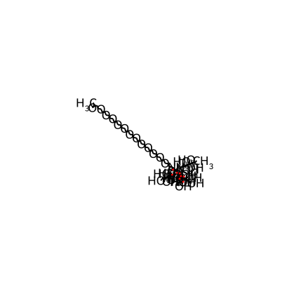 CC[C@H](O)[C@H](O)[C@@H](O)[C@H](O)CN(CC(C(=O)NCCOCCOCCOCCOCCOCCOCCOCCOCCOCCOCCOCCOCCC(C)=O)N(C[C@H](O)[C@@H](O)[C@H](O)[C@H](O)CO)C[C@H](O)[C@@H](O)[C@H](O)[C@H](O)CO)C[C@@H](O)[C@H](O)[C@@H](O)[C@@H](O)CO